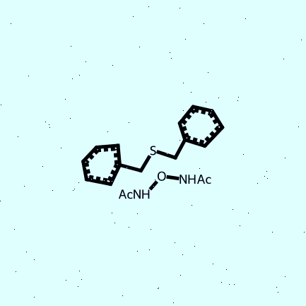 CC(=O)NONC(C)=O.c1ccc(CSCc2ccccc2)cc1